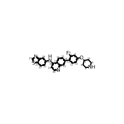 Fc1cc(OC2CCNCC2)ccc1-c1ccc2c(Nc3ccc4scnc4c3)ccnc2c1